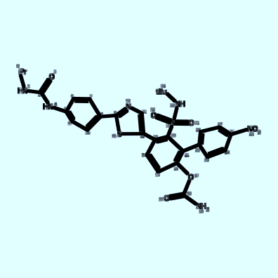 CC(C)NC(=O)Nc1ccc(-c2ncc(-c3ccc(OC(N)=O)c(-c4ccc([N+](=O)[O-])cc4)c3S(=O)(=O)NC(C)(C)C)s2)cc1